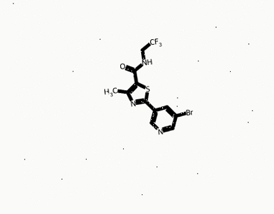 Cc1nc(-c2cncc(Br)c2)sc1C(=O)NCC(F)(F)F